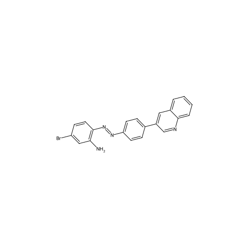 Nc1cc(Br)ccc1N=Nc1ccc(-c2cnc3ccccc3c2)cc1